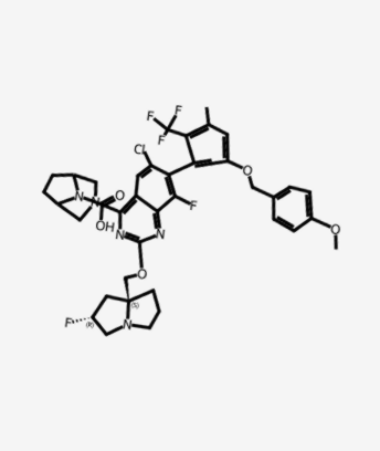 COc1ccc(COc2cc(C)c(C(F)(F)F)c(-c3c(Cl)cc4c(N5CC6CCC(C5)N6C(=O)O)nc(OC[C@@]56CCCN5C[C@H](F)C6)nc4c3F)c2)cc1